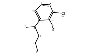 CCCC(C)c1cccc(Cl)c1Cl